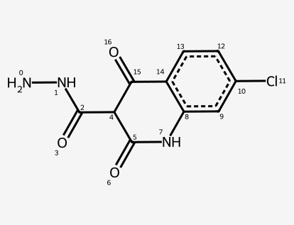 NNC(=O)C1C(=O)Nc2cc(Cl)ccc2C1=O